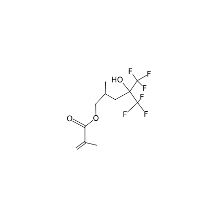 C=C(C)C(=O)OCC(C)CC(O)(C(F)(F)F)C(F)(F)F